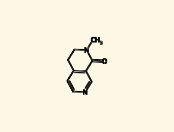 CN1CCc2ccncc2C1=O